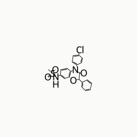 CS(=O)(=O)Nc1ccc2c(c1)OC(c1ccccc1)C(=O)N2c1ccc(Cl)cc1